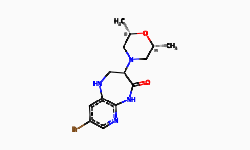 C[C@@H]1CN(C2CNc3cc(Br)cnc3NC2=O)C[C@H](C)O1